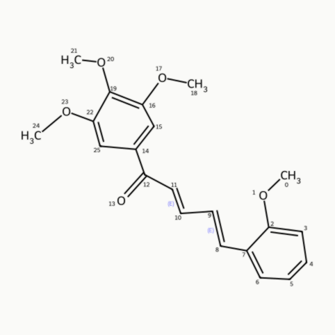 COc1ccccc1/C=C/C=C/C(=O)c1cc(OC)c(OC)c(OC)c1